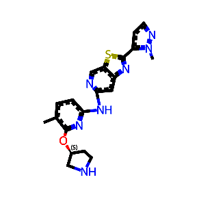 Cc1ccc(Nc2cc3nc(-c4ccnn4C)sc3cn2)nc1O[C@H]1CCNC1